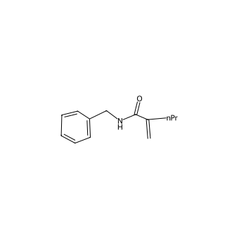 C=C(CCC)C(=O)NCc1ccccc1